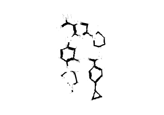 C[C@@H]1CC[C@H](NC(=O)c2ccc(C3CC3)cc2)CN1c1cnc(C(N)=O)c(Nc2ccc(N3CCN(C)CC3)c(F)c2)n1